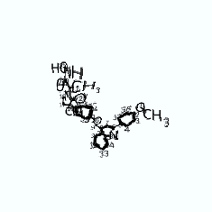 COc1ccc(-c2cc(COc3ccc(C4(C)CCN(C(C)C(=O)NO)C4=O)cc3)c3ccccc3n2)cc1